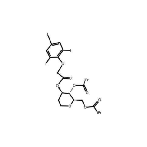 CC(C)C(=O)OC[C@H]1OCC[C@@H](OC(=O)COc2c(I)cc(I)cc2I)[C@@H]1OC(=O)C(C)C